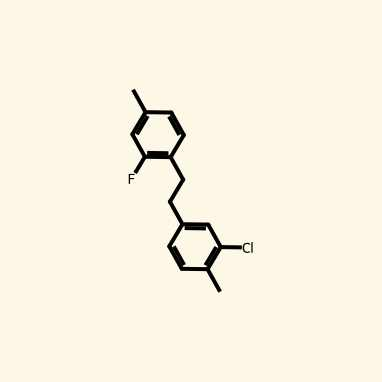 Cc1ccc(CCc2ccc(C)c(Cl)c2)c(F)c1